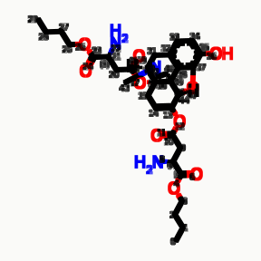 CCCCOC(=O)[C@@H](N)CC(=O)OC1=CC[C@@]2(OC(=O)C[C@H](N)C(=O)OCCCC)[C@H]3Cc4ccc(O)c5c4[C@@]2(CCN3C)[C@H]1O5